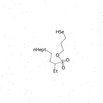 CCCCCCCCCC(CC)S(=O)(=O)OCCC[SeH]